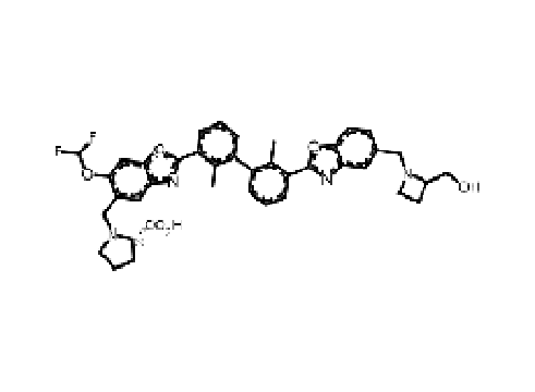 Cc1c(-c2nc3cc(CN4CCC4CO)ccc3o2)cccc1-c1cccc(-c2nc3cc(CN4CCC[C@H]4C(=O)O)c(OC(F)F)cc3o2)c1C